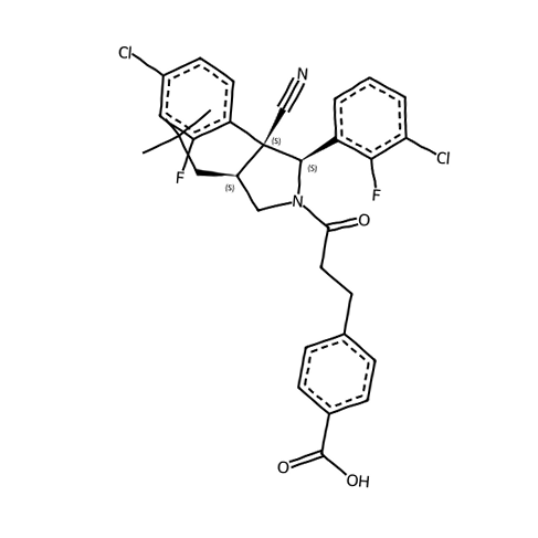 CC(C)(C)C[C@@H]1CN(C(=O)CCc2ccc(C(=O)O)cc2)[C@H](c2cccc(Cl)c2F)[C@@]1(C#N)c1ccc(Cl)cc1F